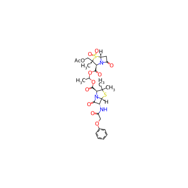 CC(=O)OC[C@@]1(C)[C@H](C(=O)OC(C)OC(=O)[C@@H]2N3C(=O)[C@@H](NC(=O)COc4ccccc4)[C@H]3SC2(C)C)N2C(=O)C[C@H]2S1(=O)=O